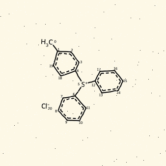 Cc1ccc([S+](c2ccccc2)c2ccccc2)cc1.[Cl-]